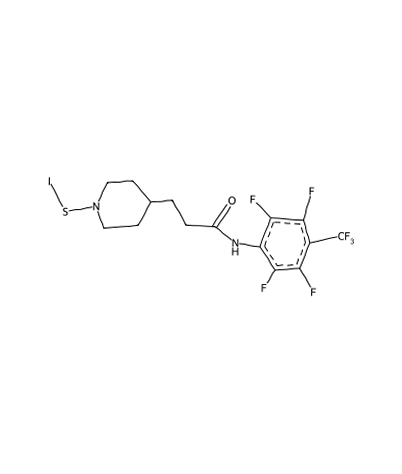 O=C(CCC1CCN(SI)CC1)Nc1c(F)c(F)c(C(F)(F)F)c(F)c1F